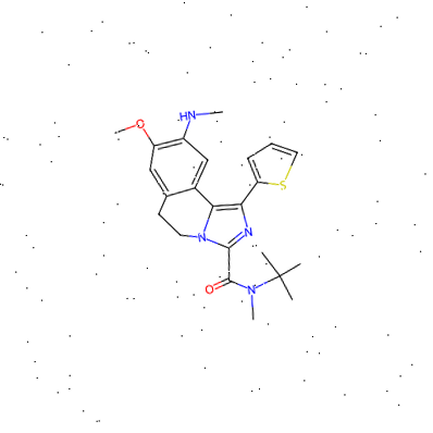 CNc1cc2c(cc1OC)CCn1c(C(=O)N(C)C(C)(C)C)nc(-c3cccs3)c1-2